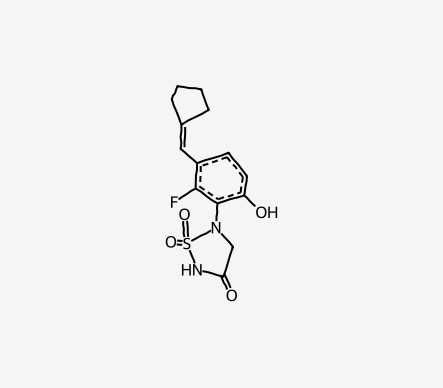 O=C1CN(c2c(O)ccc(C=C3CCCC3)c2F)S(=O)(=O)N1